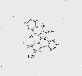 COc1cc(C2C(C(=O)c3ccccc3)=C(O)C(=O)N2c2ccccc2)ccc1O